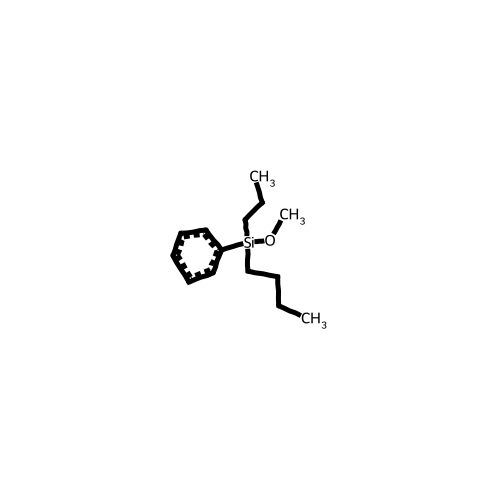 CCCC[Si](CCC)(OC)c1ccccc1